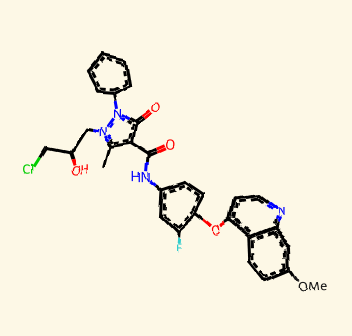 COc1ccc2c(Oc3ccc(NC(=O)c4c(C)n(CC(O)CCl)n(-c5ccccc5)c4=O)cc3F)ccnc2c1